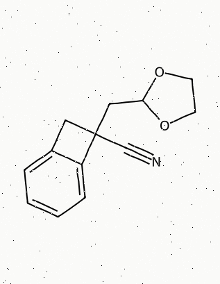 N#CC1(CC2OCCO2)Cc2ccccc21